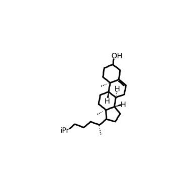 CC(C)CCC[C@@H](C)C1CC[C@H]2[C@@H]3CC=C4CC(O)CC[C@]4(C)[C@H]3CC[C@]12C